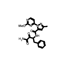 COc1nccc(-n2nc(C)cc2C(=O)NC(Cc2ccccc2)C(=O)C(N)=O)n1